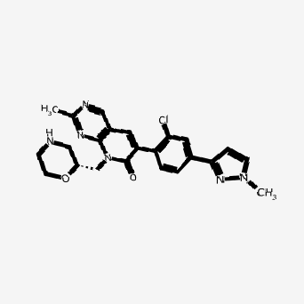 Cc1ncc2cc(-c3ccc(-c4ccn(C)n4)cc3Cl)c(=O)n(C[C@H]3CNCCO3)c2n1